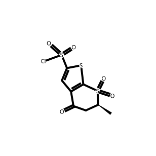 C[C@H]1CC(=O)c2cc(S(=O)(=O)Cl)sc2S1(=O)=O